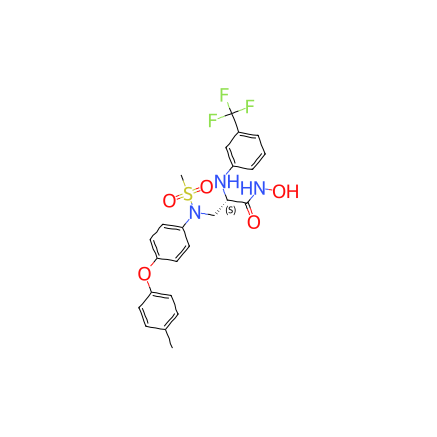 Cc1ccc(Oc2ccc(N(C[C@H](Nc3cccc(C(F)(F)F)c3)C(=O)NO)S(C)(=O)=O)cc2)cc1